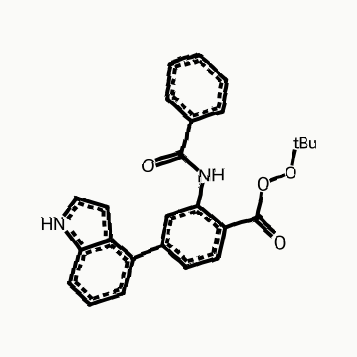 CC(C)(C)OOC(=O)c1ccc(-c2cccc3[nH]ccc23)cc1NC(=O)c1ccccc1